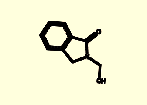 O=C1c2ccccc2CN1CO